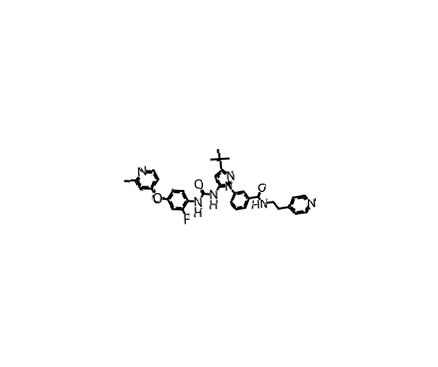 Cc1cc(Oc2ccc(NC(=O)Nc3cc(C(C)(C)C)nn3-c3cccc(C(=O)NCCc4ccncc4)c3)c(F)c2)ccn1